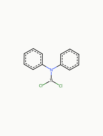 [Cl][Ti]([Cl])[N](c1ccccc1)c1ccccc1